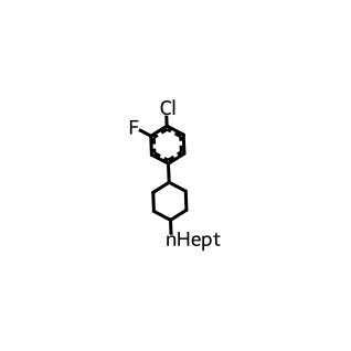 CCCCCCCC1CCC(c2ccc(Cl)c(F)c2)CC1